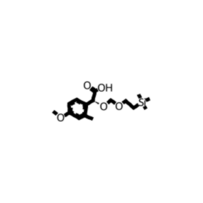 COc1ccc([C@@H](OCOCC[Si](C)(C)C)C(=O)O)c(C)c1